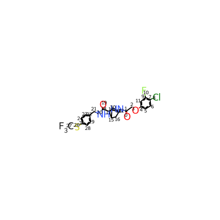 O=C(COc1ccc(Cl)c(F)c1)NC12CC(C1)C(C(=O)NCc1ccc(SC(F)(F)F)cc1)C2